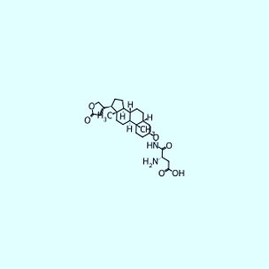 C[C@]12CC[C@H](ONC(=O)[C@@H](N)CC(=O)O)C[C@H]1CC[C@@H]1[C@@H]2CC[C@]2(C)[C@@H](C3=CC(=O)OC3)CC[C@@H]12